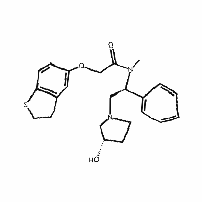 CN(C(=O)COc1ccc2c(c1)CCS2)[C@H](CN1CC[C@H](O)C1)c1ccccc1